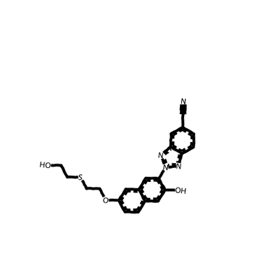 N#Cc1ccc2nn(-c3cc4cc(OCCSCCO)ccc4cc3O)nc2c1